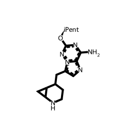 CCC[C@H](C)Oc1nc(N)c2ncc(CC3CCNC4CC34)n2n1